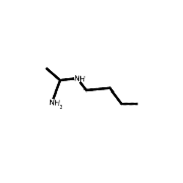 CCC[CH]NC(C)N